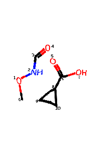 CONC=O.O=C(O)C1CC1